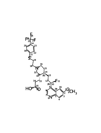 COc1ccc2nccc([C@H](F)CC[C@@H]3CCN(CCSc4ccc(C(F)(F)F)cc4)C[C@H]3CCC(=O)O)c2c1